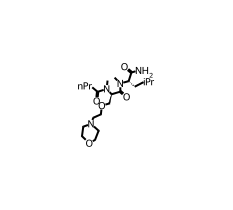 CCCC(=O)N(C)[C@H](COCCN1CCOCC1)C(=O)N(C)[C@@H](CC(C)C)C(N)=O